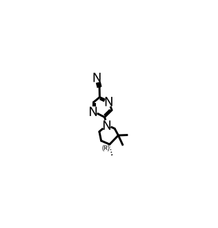 C[C@@H]1CCN(c2cnc(C#N)cn2)CC1(C)C